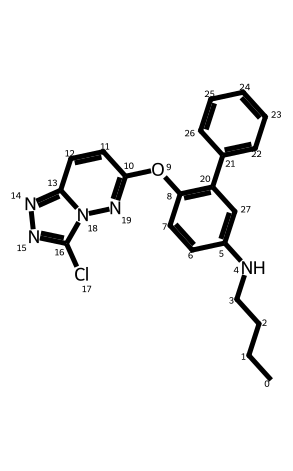 CCCCNc1ccc(Oc2ccc3nnc(Cl)n3n2)c(-c2ccccc2)c1